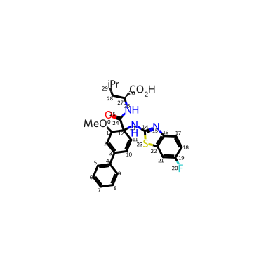 COC1C=C(c2ccccc2)C=CC1(Nc1nc2ccc(F)cc2s1)C(=O)N[C@@H](CC(C)C)C(=O)O